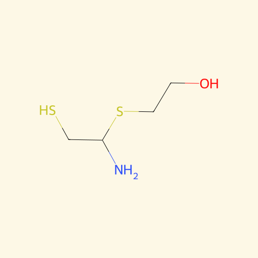 NC(CS)SCCO